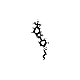 CCCCOc1ccc(-c2nc3cc(C(F)(F)F)ccc3s2)cc1